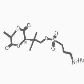 CC(=O)NCCCS(=O)(=O)OCC(C)(C)[C@H]1OC(=O)C(C)OC1=O